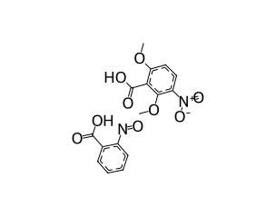 COc1ccc([N+](=O)[O-])c(OC)c1C(=O)O.O=Nc1ccccc1C(=O)O